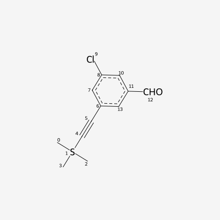 CS(C)(C)C#Cc1cc(Cl)cc(C=O)c1